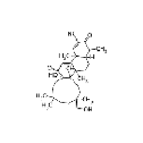 C[C@@H]1C(=O)C(C#N)=C[C@]2(C)C3=CC(=O)[C@]4(O)CCC(C)(C)CC[C@](C)(CO)CC[C@@]4(C)[C@]3(C)CC[C@@H]12